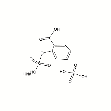 O=C(O)c1ccccc1OS(=O)(=O)O.O=S(=O)(O)O.[NaH]